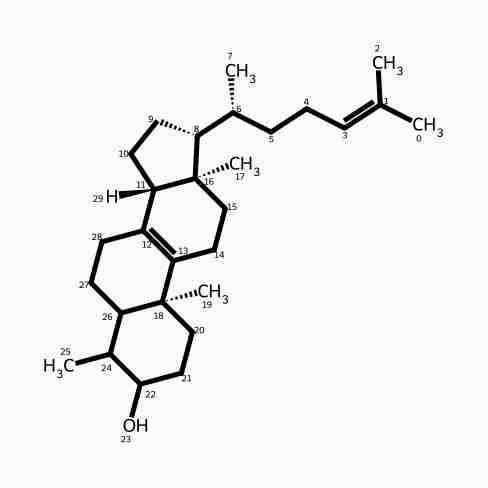 CC(C)=CCC[C@@H](C)[C@H]1CC[C@H]2C3=C(CC[C@]12C)[C@@]1(C)CCC(O)C(C)C1CC3